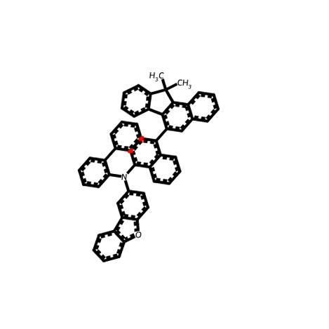 CC1(C)c2ccccc2-c2c(-c3ccc(N(c4ccc5oc6ccccc6c5c4)c4ccccc4-c4ccccc4)c4ccccc34)cc3ccccc3c21